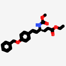 CCOC(=O)CC[C@H](/C=C/c1ccc(OCc2ccccc2)cc1)NC(=O)OC